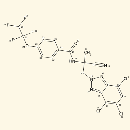 CC(C#N)(Cn1nc2c(Cl)cc(Cl)c(Cl)c2n1)NC(=O)c1ccc(OC(F)(F)C(F)F)cc1